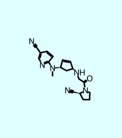 CN(c1ccc(C#N)cn1)[C@H]1C=C[C@@H](NCC(=O)N2CCC[C@H]2C#N)C1